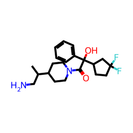 CC(CN)C1CCN(C(=O)C(O)(c2ccccc2)C2CCC(F)(F)C2)CC1